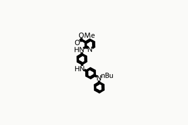 CCCCN(c1ccccc1)c1ccc(Nc2ccc(Nc3ncccc3C(=O)OC)cc2)cc1